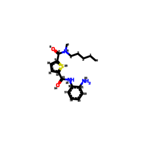 CCCCCN(C)C(=O)c1ccc(C(=O)Nc2ccccc2N)s1